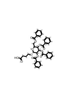 O=C(O)CCCO[C@@H]1OC(COC(=O)c2ccccc2)C(OC(=O)c2ccccc2)C(OC(=O)c2ccccc2)C1OC(=O)c1ccccc1